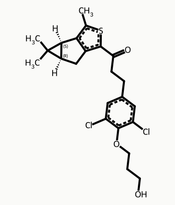 Cc1sc(C(=O)CCc2cc(Cl)c(OCCCO)c(Cl)c2)c2c1[C@H]1[C@@H](C2)C1(C)C